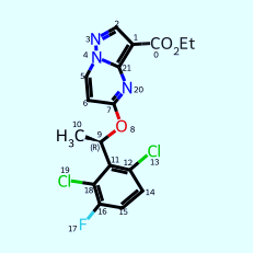 CCOC(=O)c1cnn2ccc(O[C@H](C)c3c(Cl)ccc(F)c3Cl)nc12